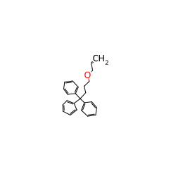 C=CCOCCCC(c1ccccc1)(c1ccccc1)c1ccccc1